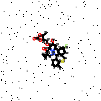 Cc1cccc2c1SCc1cc(F)ccc1C2N1CC2(CC2)C(=O)c2c(OCc3oc(=O)oc3C)c(=O)ccn21